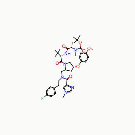 COc1ccc(O[C@H]2C[C@@H](CN(CCc3ccc(F)cc3)C(=O)c3cn(C)cn3)N(C(=O)[C@@H](NC(=O)[C@H](C)N(C)C(=O)OC(C)(C)C)C(C)(C)C)C2)cc1